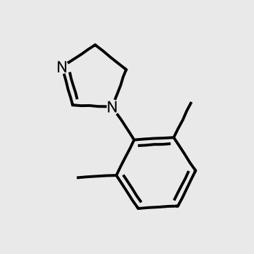 Cc1cccc(C)c1N1C=NCC1